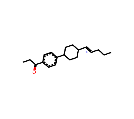 CCC/C=C/C1CCC(c2ccc(C(=O)CC)cc2)CC1